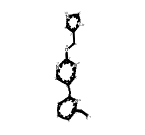 [CH2]c1cccc(-c2cnc(OCc3cncs3)nc2)n1